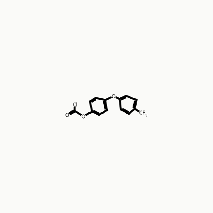 O=C(Cl)Oc1ccc(Oc2ccc(C(F)(F)F)cc2)cc1